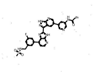 CC(C)C(=O)Nc1cncc(-c2cnc3[nH]nc(-c4nc5c(-c6cc(F)cc(CNS(C)(=O)=O)c6)ccnc5[nH]4)c3c2)c1